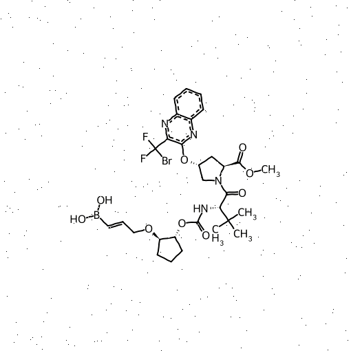 COC(=O)[C@@H]1C[C@@H](Oc2nc3ccccc3nc2C(F)(F)Br)CN1C(=O)[C@@H](NC(=O)O[C@@H]1CCC[C@H]1OC/C=C/B(O)O)C(C)(C)C